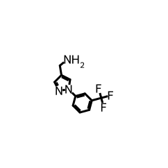 NCc1cnn(-c2cccc(C(F)(F)F)c2)c1